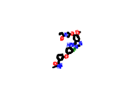 C=CC(=O)N1CC(Oc2cc3c(Nc4ccc(Oc5cccc(-c6nnc(C)o6)c5)cc4F)ncnc3cc2OC)C1